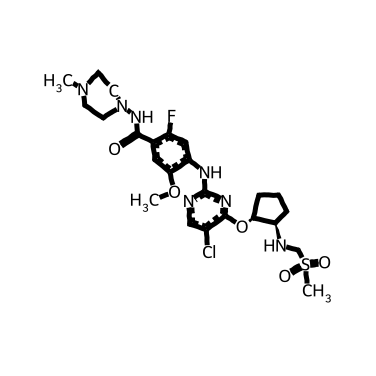 COc1cc(C(=O)NN2CCN(C)CC2)c(F)cc1Nc1ncc(Cl)c(O[C@@H]2CCC[C@H]2NCS(C)(=O)=O)n1